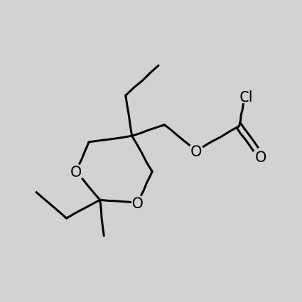 CCC1(COC(=O)Cl)COC(C)(CC)OC1